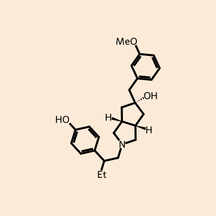 CCC(CN1C[C@@H]2C[C@@](O)(Cc3cccc(OC)c3)C[C@@H]2C1)c1ccc(O)cc1